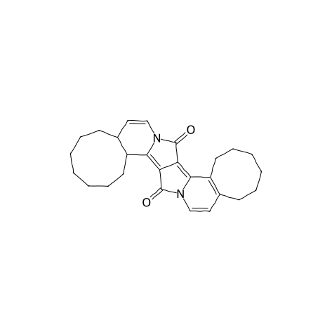 O=C1C2=C3C4CCCCCCCC4C=CN3C(=O)C2=C2C3=C(C=CN12)CCCCCC3